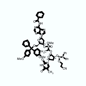 COc1ccc(C(OC[C@H]2O[C@@H](n3cnc4c(NC(=O)c5ccccc5)ncnc43)C[C@H]2OP(=O)(OC)C(C)O[C@H]2O[C@@H](n3cc(C)c(=O)[nH]c3=O)C[C@H]2OP(OCCC#N)N(C(C)C)C(C)C)(c2ccccc2)c2ccc(OC)cc2)cc1